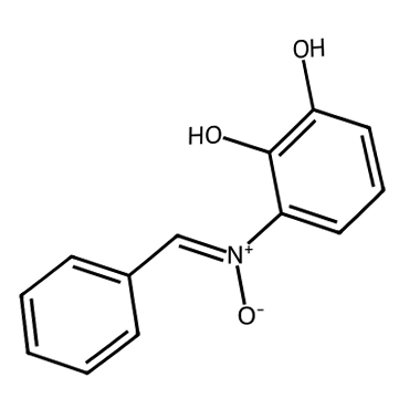 [O-][N+](=Cc1ccccc1)c1cccc(O)c1O